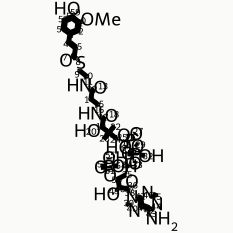 COc1cc(C=CC(=O)SCCNC(=O)CCNC(=O)[C@H](O)C(C)(C)COP(=O)(O)OP(=O)(O)OC[C@H]2O[C@@H](n3cnc4c(N)ncnc43)[C@H](O)[C@@H]2OP(=O)(O)O)ccc1O